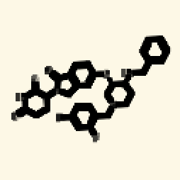 O=C1CCC(N2Cc3cc(O[C@H]4CN(Cc5ccc(F)cc5F)CC[C@@H]4NCc4ccccc4)ccc3C2=O)C(=O)N1